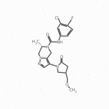 COCC1CC(=O)N(c2cnn3c2CN(C(=O)Nc2ccc(F)c(Cl)c2)[C@@H](C)C3)C1